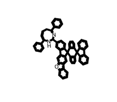 C1=CC/C(c2ccccc2)=N\C(c2ccc3c(c2)-c2cc4oc5ccccc5c4cc2C32c3ccccc3C3(c4ccccc4-c4ccccc43)c3ccccc32)NC=1c1ccccc1